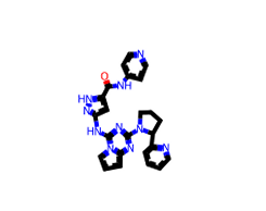 O=C(Nc1ccncc1)c1cc(Nc2nc(N3CCCC3c3ccccn3)nc3cccn23)n[nH]1